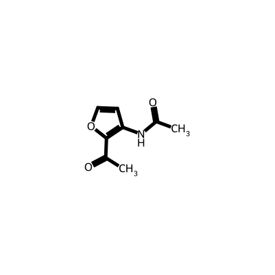 CC(=O)Nc1ccoc1C(C)=O